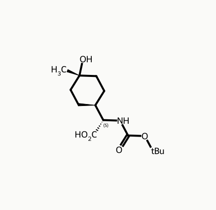 CC(C)(C)OC(=O)N[C@H](C(=O)O)[C@H]1CC[C@](C)(O)CC1